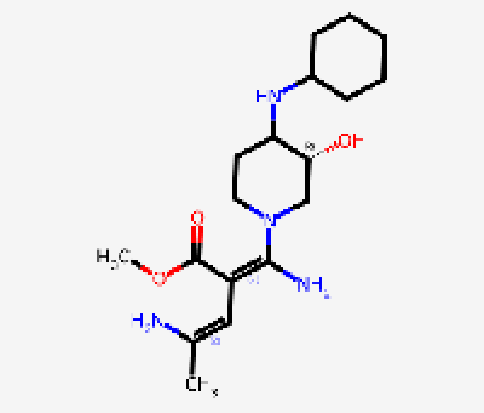 COC(=O)C(/C=C(/C)N)=C(/N)N1CCC(NC2CCCCC2)[C@H](O)C1